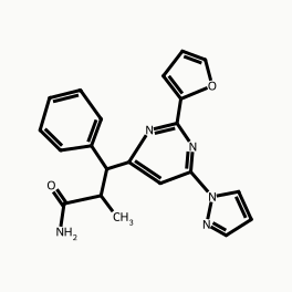 CC(C(N)=O)C(c1ccccc1)c1cc(-n2cccn2)nc(-c2ccco2)n1